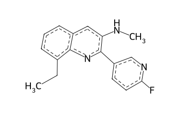 CCc1cccc2cc(NC)c(-c3ccc(F)nc3)nc12